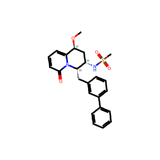 CO[C@H]1C[C@H](NS(C)(=O)=O)[C@H](Cc2cccc(-c3ccccc3)c2)n2c1cccc2=O